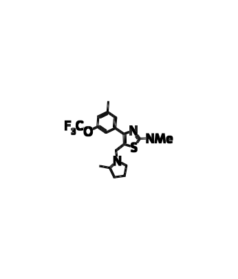 CNc1nc(-c2cc(C)cc(OC(F)(F)F)c2)c(CN2CCCC2C)s1